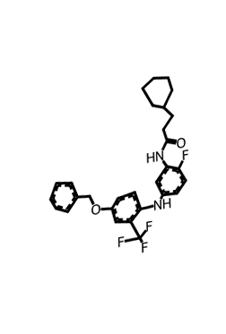 O=C(CCC1CCCCC1)Nc1cc(Nc2ccc(OCc3ccccc3)cc2C(F)(F)F)ccc1F